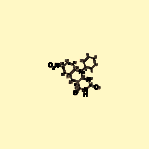 O=c1nc2n(-c3ccccc3)c3ccc([N+](=O)[O-])cc3cc-2c(=O)[nH]1